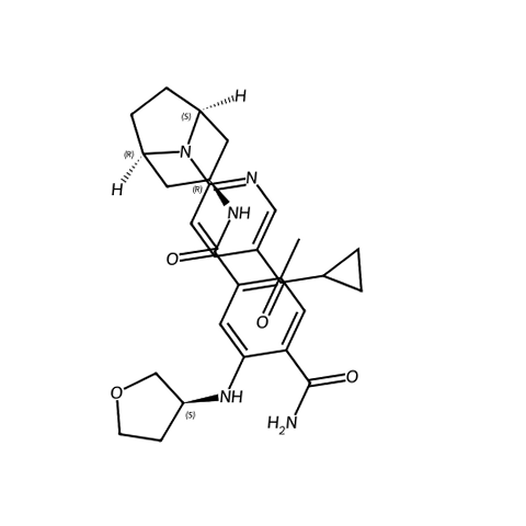 Cc1cc(C(N)=O)c(N[C@H]2CCOC2)cc1C(=O)N[C@H]1C[C@H]2CC[C@@H](C1)N2c1ccc(C(=O)C2CC2)cn1